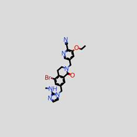 CCOc1cc(CN2CCc3c(Br)cc(Cn4ccnc4NC)cc3C2=O)cnc1C#N